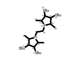 CC1C(C(C)(C)C)C(C(C)(C)C)C(C)P1CCP1C(C)C(C(C)(C)C)C(C(C)(C)C)C1C